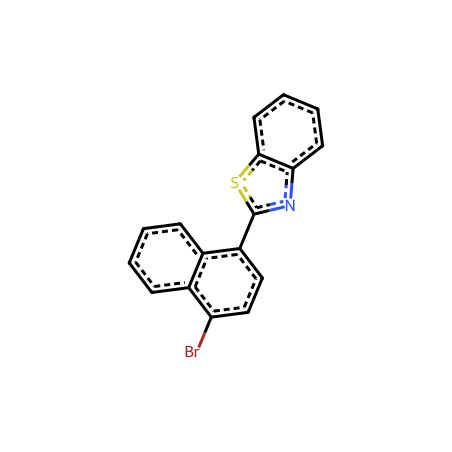 Brc1ccc(-c2nc3ccccc3s2)c2ccccc12